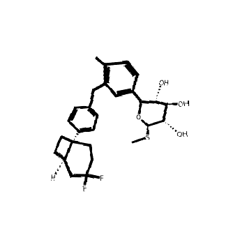 CS[C@H]1OC(c2ccc(C)c(Cc3ccc([C@@]45CC[C@@H]4CC(F)(F)CC5)cc3)c2)[C@H](O)[C@@H](O)[C@@H]1O